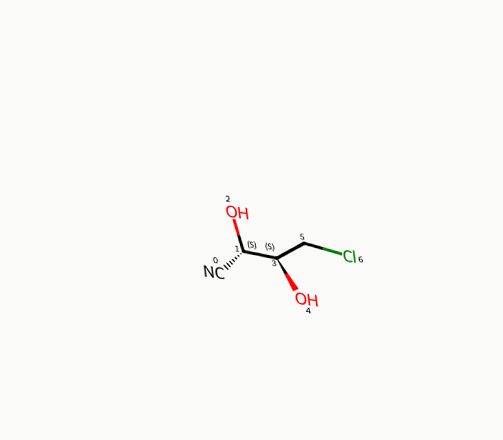 N#C[C@H](O)[C@H](O)CCl